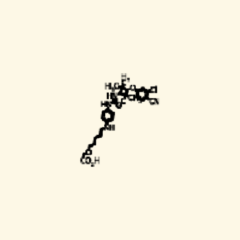 CC1(C)[C@H](NC(=O)Nc2ccc(NCCCCCOCC(=O)O)cc2)C(C)(C)[C@H]1Oc1ccc(C#N)c(Cl)c1